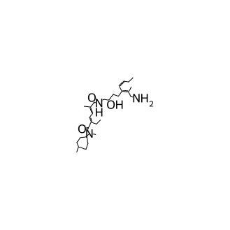 CC/C=C\C(CCC(O)CNC(=O)/C(C)=C/C=C(\CC)C(=O)N(C)C1CCC(C)CC1)=C(/C)CN